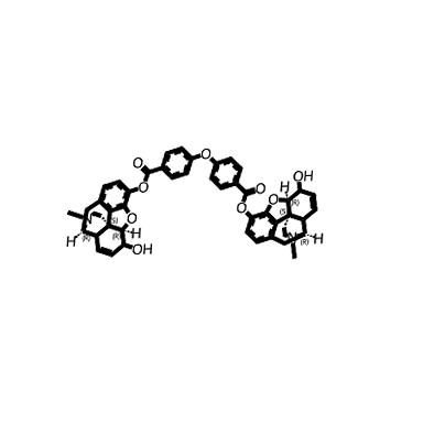 CN1CC[C@]23c4c5ccc(OC(=O)c6ccc(Oc7ccc(C(=O)Oc8ccc9c%10c8O[C@H]8C(O)C=CC%11[C@@H](C9)N(C)CC[C@@]%10%118)cc7)cc6)c4O[C@H]2C(O)C=CC3[C@H]1C5